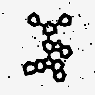 c1ccc(-c2nc(-c3ccccc3)nc(-c3ccc(-n4c5cc6ccccc6cc5c5c6ccccc6ccc54)c4c3oc3ccccc34)n2)cc1